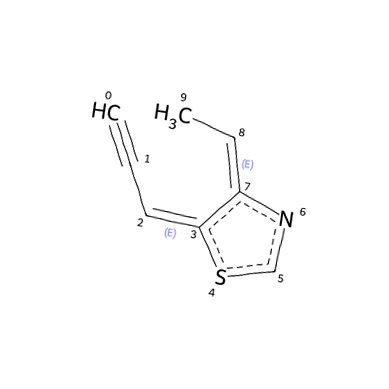 C#C/C=c1/scn/c1=C/C